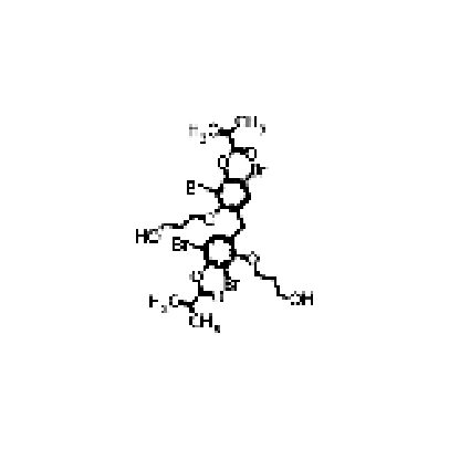 C=C(C)C(=O)Oc1c(Br)cc(Cc2cc(Br)c(OC(=O)C(=C)C)c(Br)c2OCCCO)c(OCCCO)c1Br